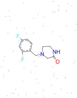 O=C1CN(Cc2ccc(F)cc2F)CCN1